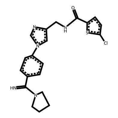 N=C(c1ccc(-n2cnc(CNC(=O)c3ccc(Cl)s3)c2)cc1)N1CCCC1